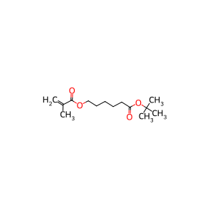 C=C(C)C(=O)OCCCCCC(=O)OC(C)(C)C